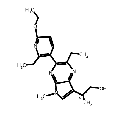 CCOc1ccc(-c2nc3c(nc2CC)c([C@H](C)CO)cn3C)c(CC)n1